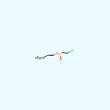 CCCCCCCOS(=O)CCCl